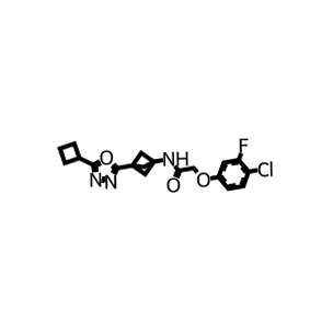 O=C(COc1ccc(Cl)c(F)c1)NC12CC(c3nnc(C4CCC4)o3)(C1)C2